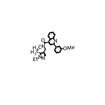 CCn1ncc(CN(C)C(=O)c2cc(-c3cccc(OC)c3)nc3ccccc23)c1C